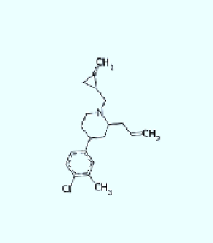 C=CCC1CC(c2ccc(Cl)c(C)c2)CCN1CC1CC1=C